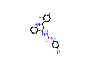 COc1ccc(NC(=O)NN=C2CC(c3ccc(C)cc3C)Nc3ccccc32)cc1